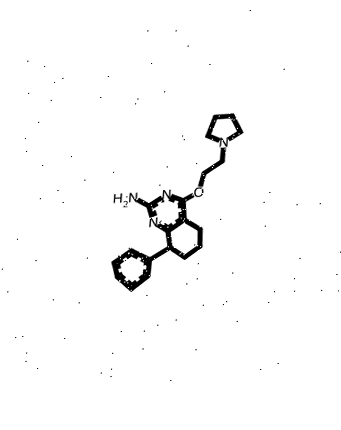 Nc1nc(OCCN2CCCC2)c2c(n1)C(c1ccccc1)CCC2